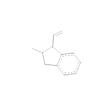 CC1Cc2ccccc2C1C=O